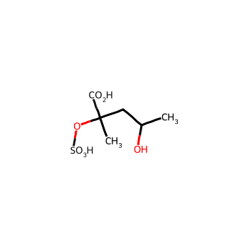 CC(O)CC(C)(OS(=O)(=O)O)C(=O)O